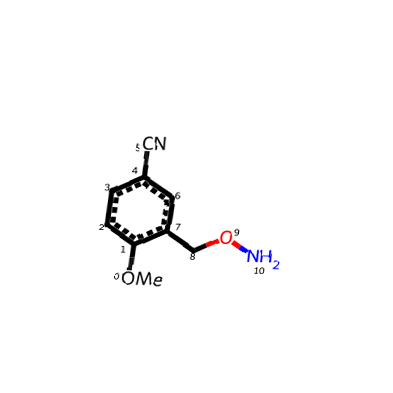 COc1ccc(C#N)cc1CON